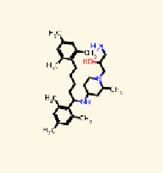 Cc1cc(C)c(CCCCC(NC2CCN(CC(O)CN)C(C)C2)c2c(C)cc(C)cc2C)c(C)c1